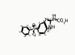 O=C(O)Nc1nc2cc(S(=O)(=O)c3ccccc3)ccc2[nH]1